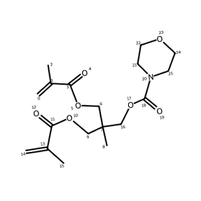 C=C(C)C(=O)OCC(C)(COC(=O)C(=C)C)COC(=O)N1CCOCC1